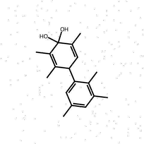 CC1=CC(c2cc(C)cc(C)c2C)C(C)=C(C)C1(O)O